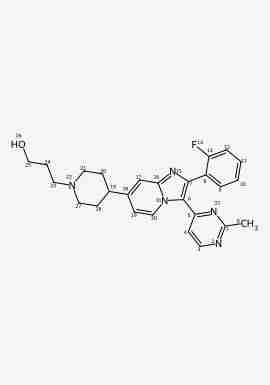 Cc1nccc(-c2c(-c3ccccc3F)nc3cc(C4CCN(CCCO)CC4)ccn23)n1